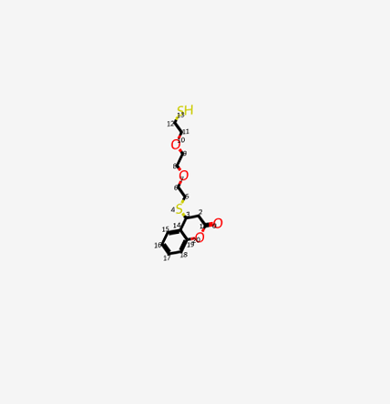 O=C1CC(SCCOCCOCCS)c2ccccc2O1